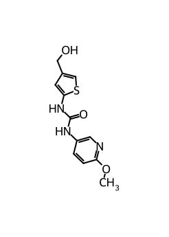 COc1ccc(NC(=O)Nc2cc(CO)cs2)cn1